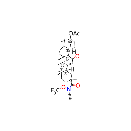 C#CN(OC(F)(F)F)C(=O)[C@@]1(C)CC[C@]2(C)CC[C@]3(C)C(=CC(=O)[C@@H]4[C@@]5(C)CC[C@H](OC(C)=O)C(C)(C)C5CC[C@]43C)[C@@H]2C1